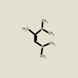 CC(=CN(C)C)N(C)C